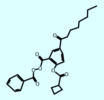 CCCCCCCC(=O)c1ccc(OC(=O)C2CCC2)c(C(=O)OOC(=O)c2ccccc2)c1